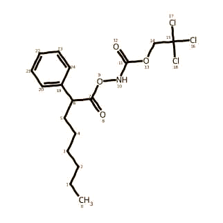 CCCCCCC(C(=O)ONC(=O)OCC(Cl)(Cl)Cl)c1ccccc1